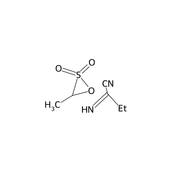 CC1OS1(=O)=O.CCC(=N)C#N